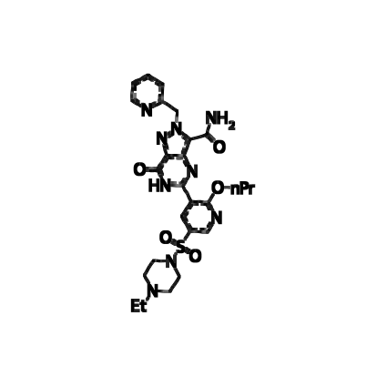 CCCOc1ncc(S(=O)(=O)N2CCN(CC)CC2)cc1-c1nc2c(C(N)=O)n(Cc3ccccn3)nc2c(=O)[nH]1